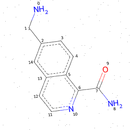 N[CH]c1ccc2c(C(N)=O)nccc2c1